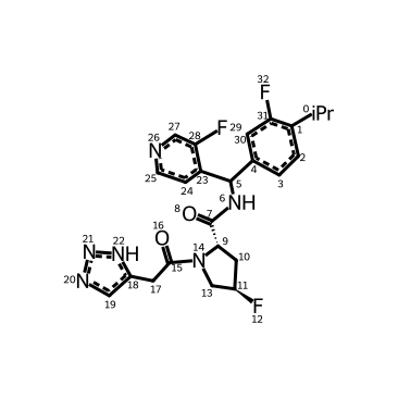 CC(C)c1ccc(C(NC(=O)[C@@H]2C[C@@H](F)CN2C(=O)Cc2cnn[nH]2)c2ccncc2F)cc1F